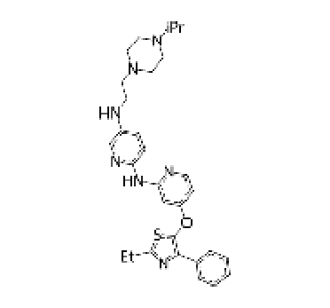 CCc1nc(-c2ccccc2)c(Oc2ccnc(Nc3ccc(NCCN4CCN(C(C)C)CC4)cn3)c2)s1